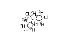 [2H]c1c([2H])c([2H])c(C(c2c([2H])c([2H])c(Cl)c([2H])c2[2H])C(Cl)(Cl)Cl)c(Cl)c1[2H]